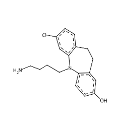 NCCCCN1c2ccc(O)cc2CCc2ccc(Cl)cc21